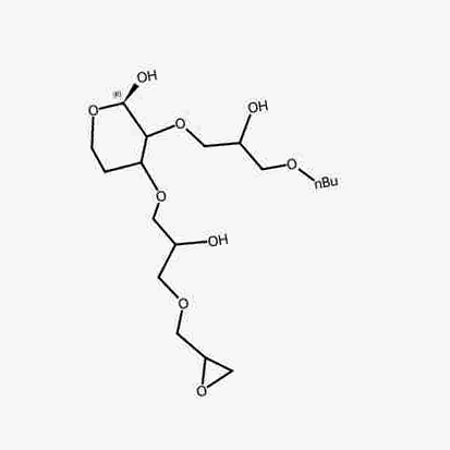 CCCCOCC(O)COC1C(OCC(O)COCC2CO2)CCO[C@H]1O